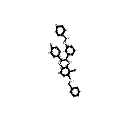 Fc1c(OCc2ccccc2)ccc2c1SC(c1cccc(OCc3ccccc3)c1)C(c1ccc(I)cc1)O2